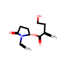 C=C(CCO)C(=O)O.C=CN1CCCC1=O